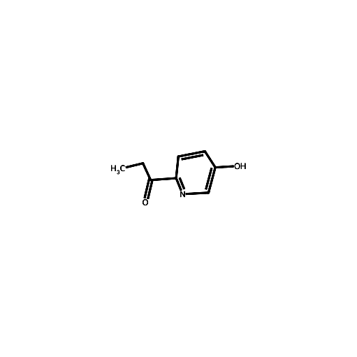 CCC(=O)c1ccc(O)cn1